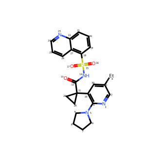 CCc1cnc(N2CCCC2)c(C2(C(=O)NS(=O)(=O)c3cccc4ncccc34)CC2)c1